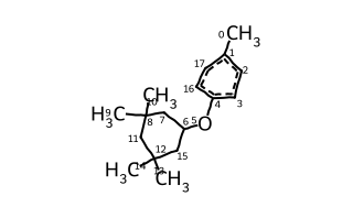 Cc1ccc(OC2CC(C)(C)CC(C)(C)C2)cc1